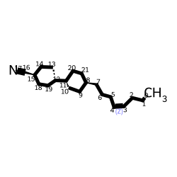 CCC/C=C\CCC[C@H]1CC[C@H]([C@H]2CC[C@H](C#N)CC2)CC1